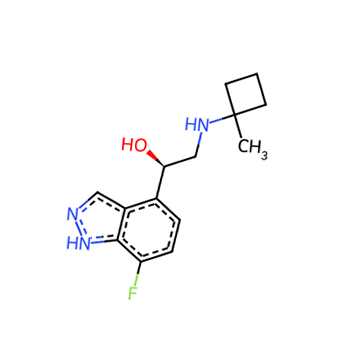 CC1(NC[C@H](O)c2ccc(F)c3[nH]ncc23)CCC1